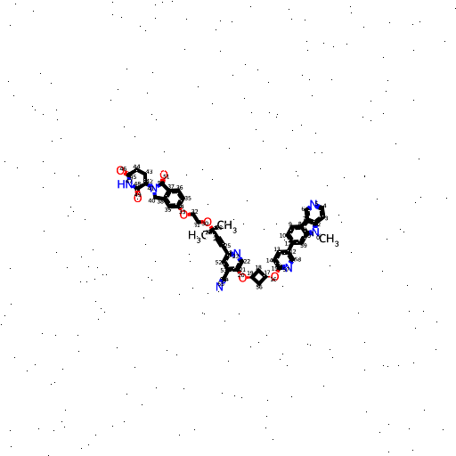 Cn1c2ccncc2c2ccc(-c3ccc(O[C@H]4C[C@H](Oc5cnc(C#CC(C)(C)OCCOc6ccc7c(c6)CN(C6CCC(=O)NC6=O)C7=O)cc5C#N)C4)nc3)cc21